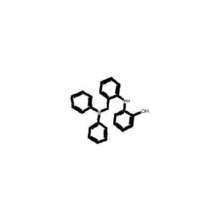 Oc1ccccc1Pc1ccccc1CN(c1ccccc1)c1ccccc1